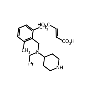 Cc1cccc(C)c1CN(CC(C)C)C1CCNCC1.O=C(O)C=CC(=O)O